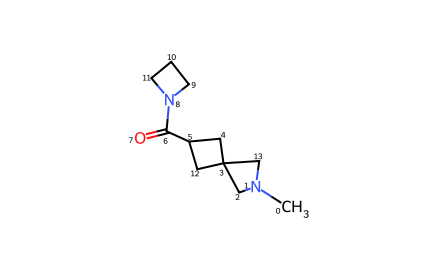 CN1CC2(CC(C(=O)N3CCC3)C2)C1